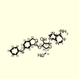 Nc1ncnc2c1ncn2[C@@H]1O[C@H](CO)[C@H](OB2OCc3ccc(Sc4ccccc4)cc32)C1O